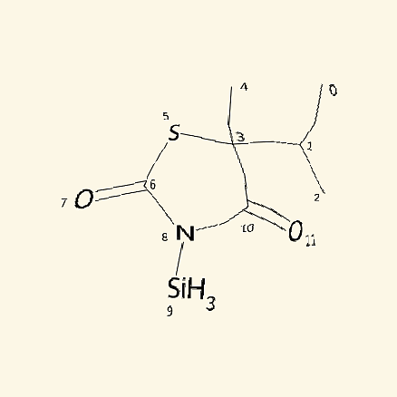 CC(C)C1(C)SC(=O)N([SiH3])C1=O